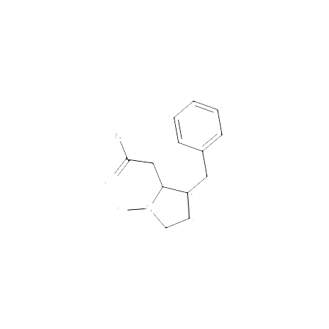 CC(=O)N1CCC(Cc2ccccc2)C1CC(N)=O